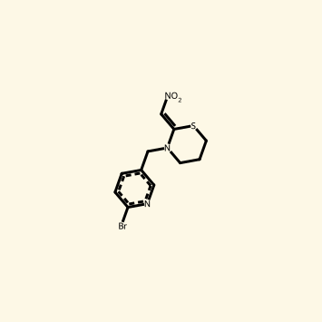 O=[N+]([O-])/C=C1\SCCCN1Cc1ccc(Br)nc1